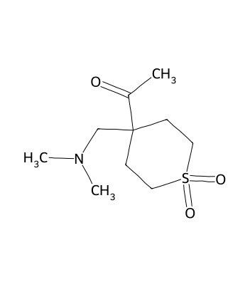 CC(=O)C1(CN(C)C)CCS(=O)(=O)CC1